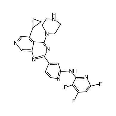 Fc1cc(F)c(F)c(Nc2cc(-c3nc(N4CCNCC4)c4c(C5CC5)cncc4n3)ccn2)n1